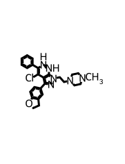 CN1CCN(CCn2nc(-c3ccc4c(c3)CCO4)c3c2NNC(c2ccccc2)=C3Cl)CC1